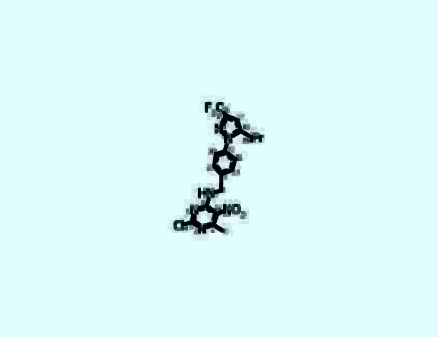 Cc1nc(Cl)nc(NCc2ccc(-n3nc(C(F)(F)F)cc3C(C)C)cc2)c1[N+](=O)[O-]